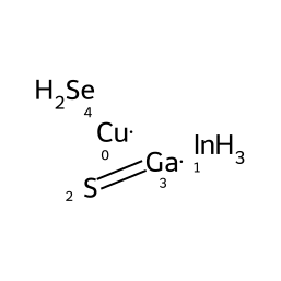 [Cu].[InH3].[S]=[Ga].[SeH2]